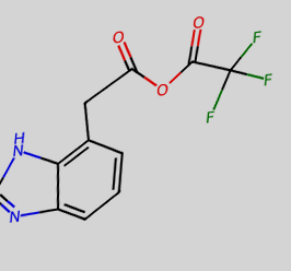 O=C(Cc1cccc2nc[nH]c12)OC(=O)C(F)(F)F